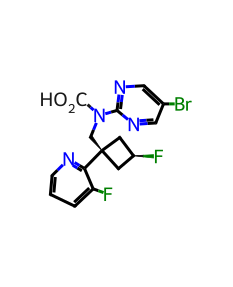 O=C(O)N(C[C@]1(c2ncccc2F)C[C@H](F)C1)c1ncc(Br)cn1